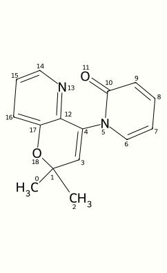 CC1(C)C=C(n2ccccc2=O)c2ncccc2O1